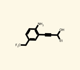 CCC(O)C#Cc1cc(CC(F)(F)F)ccc1N